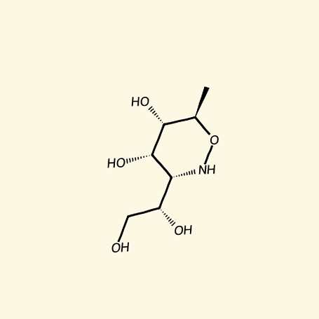 C[C@H]1ON[C@H]([C@H](O)CO)[C@H](O)[C@@H]1O